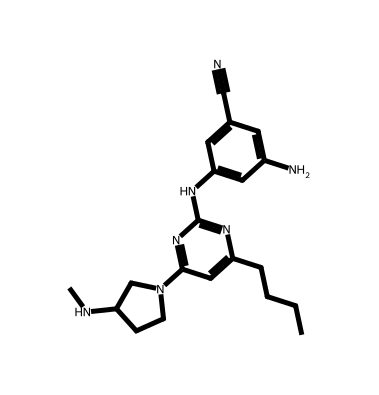 CCCCc1cc(N2CCC(NC)C2)nc(Nc2cc(N)cc(C#N)c2)n1